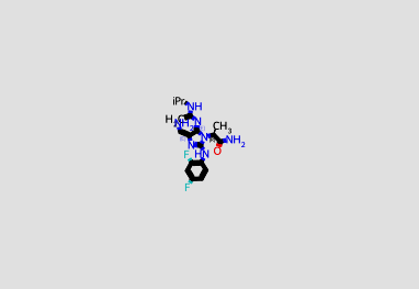 C=C(/N=C1\C(=C/N)N=C(Nc2ccc(F)cc2F)N1[C@H](C)C(N)=O)NC(C)C